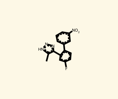 Cc1[nH]nnc1-c1cc(F)ccc1-c1cccc([N+](=O)[O-])c1